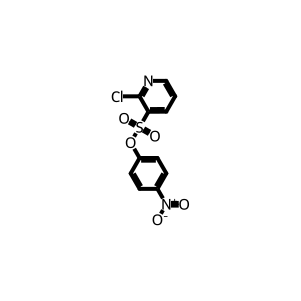 O=[N+]([O-])c1ccc(OS(=O)(=O)c2cccnc2Cl)cc1